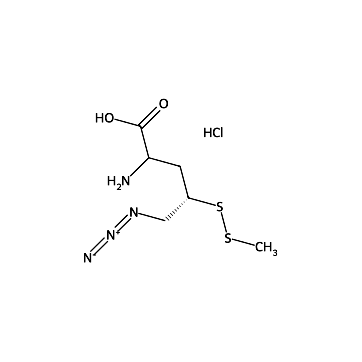 CSS[C@H](CN=[N+]=[N-])CC(N)C(=O)O.Cl